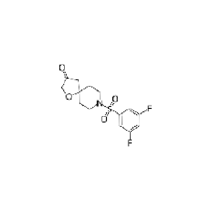 O=C1COC2(CCN(S(=O)(=O)c3cc(F)cc(F)c3)CC2)C1